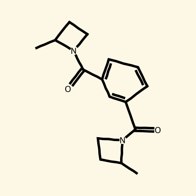 CC1CCN1C(=O)c1cccc(C(=O)N2CCC2C)c1